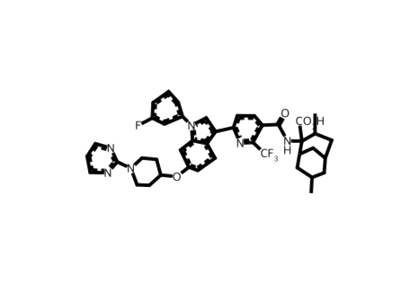 CC1CC2CC(C)C(NC(=O)c3ccc(-c4cn(-c5cccc(F)c5)c5cc(OC6CCN(c7ncccn7)CC6)ccc45)nc3C(F)(F)F)(C(=O)O)C(C1)C2